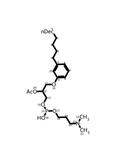 CCCCCCCCCCCCCCc1cccc(OCC(COP(O)OCCCN(C)C)OC(C)=O)c1